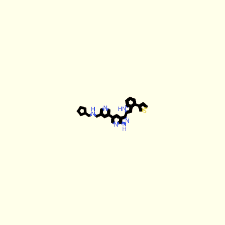 c1cc(-c2ccsc2)c2cc(-c3n[nH]c4ncc(-c5cncc(CNCC6CCCC6)c5)cc34)[nH]c2c1